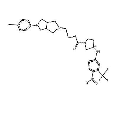 Cc1ccc(N2CC3CN(CCCC(=O)N4CC[C@H](Nc5ccc([N+](=O)[O-])c(C(F)(F)F)c5)C4)CC3C2)cc1